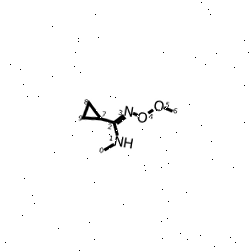 CN/C(=N\OOC)C1CC1